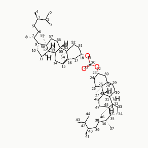 CC(C)[C@H](C)CC[C@@H](C)[C@H]1CC[C@H]2[C@@H]3CC=C4C[C@@H](OC(=O)O[C@H]5CC[C@@]6(C)C(=CC[C@H]7[C@@H]8CC[C@H]([C@H](C)CC[C@@H](C)C(C)C)[C@@]8(C)CC[C@@H]76)C5)CC[C@]4(C)[C@H]3CC[C@]12C